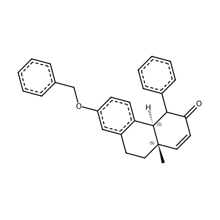 C[C@]12C=CC(=O)C(c3ccccc3)[C@@H]1c1ccc(OCc3ccccc3)cc1CC2